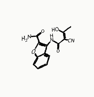 CC(O)=C(C#N)C(=O)Nc1c(C(N)=O)oc2ccccc12